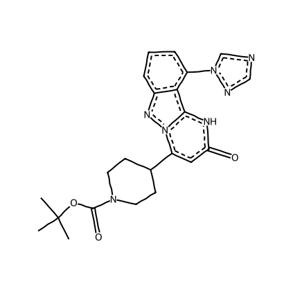 CC(C)(C)OC(=O)N1CCC(c2cc(=O)[nH]c3c4c(-n5cncn5)cccc4nn23)CC1